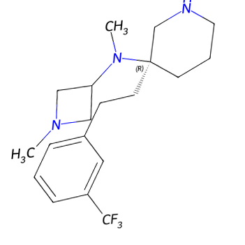 CN1CC(N(C)[C@]2(CCc3cccc(C(F)(F)F)c3)CCCNC2)C1